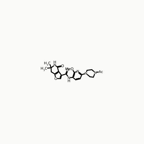 COc1nc(N2CCN(C(C)=O)CC2)ccc1NC(=O)c1coc2c1C(=O)NC(C)(C)C2